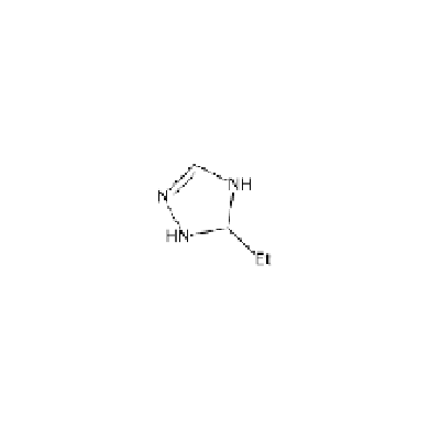 CCC1NC=NN1